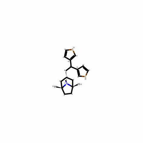 CN1[C@@H]2CC[C@H]1C[C@@H](CC(c1ccsc1)c1ccsc1)C2